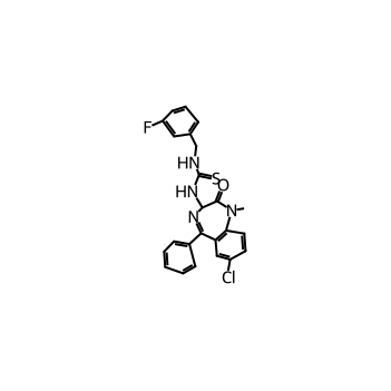 CN1C(=O)C(NC(=S)NCc2cccc(F)c2)N=C(c2ccccc2)c2cc(Cl)ccc21